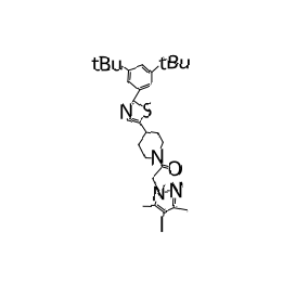 Cc1nn(CC(=O)N2CCC(c3cnc(-c4cc(C(C)(C)C)cc(C(C)(C)C)c4)s3)CC2)c(C)c1I